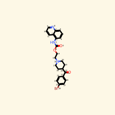 O=C(Nc1cccc2ncccc12)OCCN1CCC(C(=O)c2ccc(Br)cc2)CC1